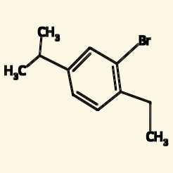 CCc1ccc(C(C)C)cc1Br